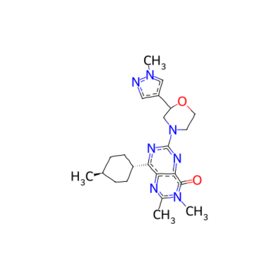 Cc1nc2c(nc(N3CCOC(c4cnn(C)c4)C3)nc2[C@H]2CC[C@H](C)CC2)c(=O)n1C